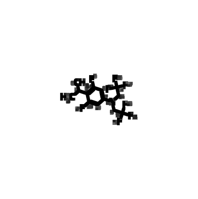 CC(C)c1c(F)cc(N(CC(F)(F)F)CC(F)(F)F)cc1F